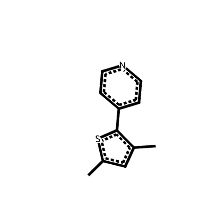 Cc1cc(C)c(-c2ccncc2)s1